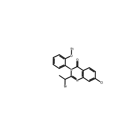 CCOc1ccccc1-n1c(C(C)Br)nc2cc(Cl)ccc2c1=O